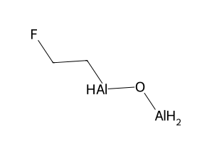 FC[CH2][AlH][O][AlH2]